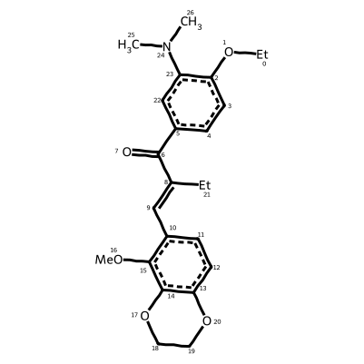 CCOc1ccc(C(=O)/C(=C/c2ccc3c(c2OC)OCCO3)CC)cc1N(C)C